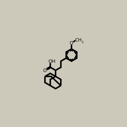 COc1cccc(CCC(C(=O)O)C23CC4CC(CC(C4)C2)C3)c1